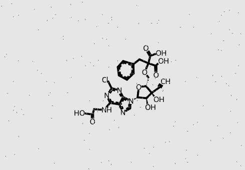 C#C[C@@]1(O)[C@@H](COC(Cc2ccccc2)(C(=O)O)C(=O)O)O[C@@H](n2cnc3c(NCC(=O)O)nc(Cl)nc32)[C@@H]1O